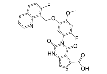 COc1cc(F)c(-n2c(=O)[nH]c3csc(C(=O)O)c3c2=O)cc1OCc1c(F)ccc2cccnc12